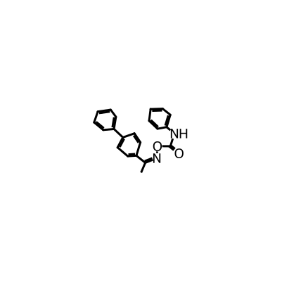 CC(=NOC(=O)Nc1ccccc1)c1ccc(-c2ccccc2)cc1